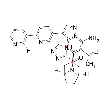 CC(=O)c1c([C@H]2C[C@H]3CC[C@@H](C2)N3C(=O)c2nnc[nH]2)nc2c(-c3ccc(-c4cccnc4F)nc3)cnn2c1N